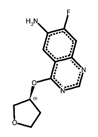 Nc1cc2c(O[C@H]3CCOC3)ncnc2cc1F